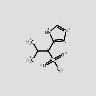 [CH2]C(C)C(c1cnc[nH]1)S(=O)(=O)O